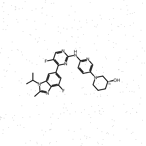 Cc1nc2c(F)cc(-c3nc(Nc4ccc(N5CCC[C@H](O)C5)cn4)ncc3F)cc2n1C(C)C